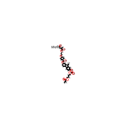 C=CC(=O)OCCCCOC(=O)Oc1ccc2c(c1)C(C)c1cc(OC(=O)c3ccc(OCCCOC(=O)C(=C)CC(=O)OC)cc3)ccc1-2